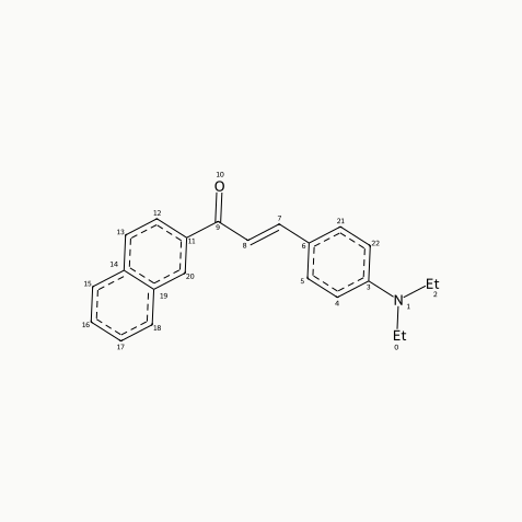 CCN(CC)c1ccc(/C=C/C(=O)c2ccc3ccccc3c2)cc1